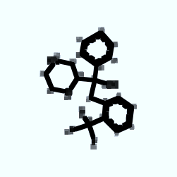 OC(Cc1ccccc1C(F)(F)F)(c1ccccc1)C1CNCCO1